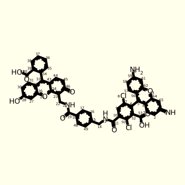 N=c1ccc2c(-c3c(Cl)cc(C(=O)NCc4ccc(C(=O)NCc5c6oc7cc(O)ccc7c(-c7ccccc7C(=O)O)c-6ccc5=O)cc4)c(Cl)c3C(=O)O)c3ccc(N)cc3oc-2c1